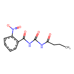 CCCC(=O)NC(=O)NC(=O)c1ccccc1[N+](=O)[O-]